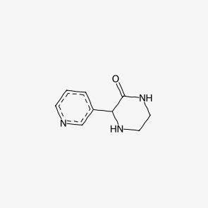 O=C1NCCNC1c1cccnc1